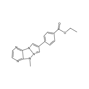 CCOC(=O)c1ccc(-c2cn3c4nccnc4n(C)[n+]3c2)cc1